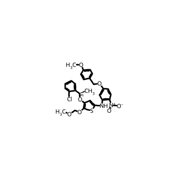 COCOc1sc(Nc2cc(OCc3ccc(OC)cc3)ccc2[N+](=O)[O-])cc1O[C@H](C)c1ccccc1Cl